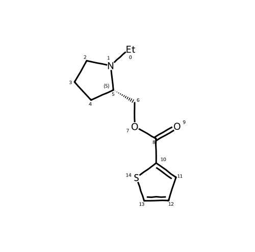 CCN1CCC[C@H]1COC(=O)c1cccs1